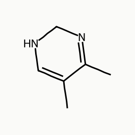 CC1=CNCN=C1C